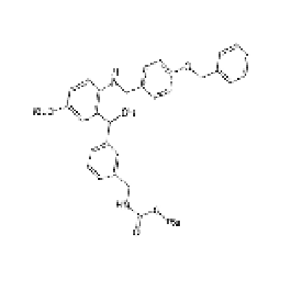 CC(C)COc1ccc(NCc2ccc(OCc3ccccc3)cc2)c(C(O)c2cccc(CNC(=O)OC(C)(C)C)c2)c1